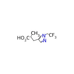 C[C@H](Cc1cnn(CC(F)(F)F)c1)C(=O)O